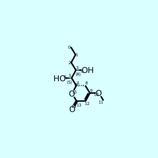 CCC[C@@H](O)[C@H](O)[C@@H]1CC(OC)=CC(=O)O1